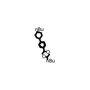 CCCCC1CCC(c2ccc(C3COC(CCCC)CO3)cc2)CC1